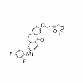 CC1(C)OC[C@@H](CCOc2ccc3c(c2)C(=O)c2ccc(Nc4ccc(F)cc4F)cc2CC3)O1